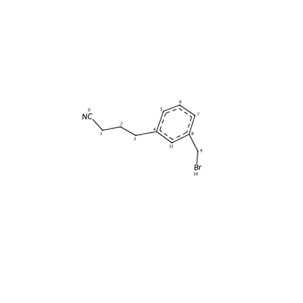 N#CCCCc1cccc(CBr)c1